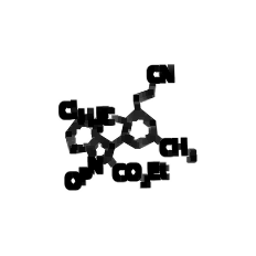 CCOC(=O)c1c(-c2cc(C)cc(C=CC#N)c2C)c2c(F)c(Cl)ccc2n1P=O